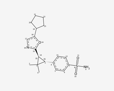 CC1(C)[C@@H](c2ccc(S(N)(=O)=O)cc2)[C@@H]1c1ncc(C2CCCC2)o1